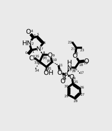 C=C1NC(=O)C=CN1[C@@H]1O[C@H](CO[P@](=O)(N[C@@H](C)C(=O)OC(C)C)Oc2ccccc2)[C@@H](O)[C@@]1(C)Cl